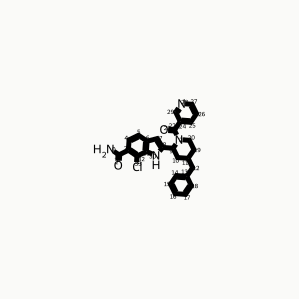 NC(=O)c1ccc2cc(C3CC(Cc4ccccc4)CCN3C(=O)c3cccnc3)[nH]c2c1Cl